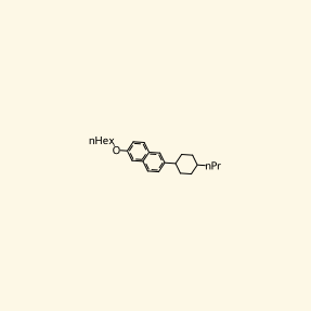 CCCCCCOc1ccc2cc(C3CCC(CCC)CC3)ccc2c1